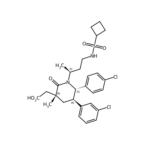 C[C@@H](CCNS(=O)(=O)C1CCC1)N1C(=O)[C@@](C)(CC(=O)O)C[C@H](c2cccc(Cl)c2)[C@H]1c1ccc(Cl)cc1